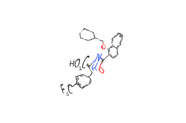 O=C(NC(Cc1ccc(C(F)(F)F)cc1)C(=O)O)c1ccc2ccccc2c1OCC1CCCCC1